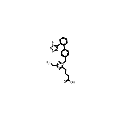 CCc1nc(CCCC(=O)O)n(Cc2ccc(-c3ccccc3-c3nnn[nH]3)cc2)n1